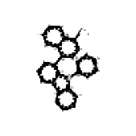 Cc1ccc(-c2cccc3c4ccccc4n(-c4ccccc4)c23)c2ccccc12